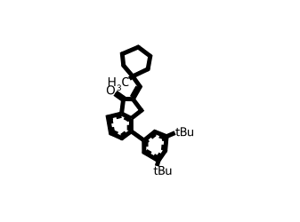 CC1(/C=C2/Cc3c(cccc3-c3cc(C(C)(C)C)cc(C(C)(C)C)c3)C2=O)CCCCC1